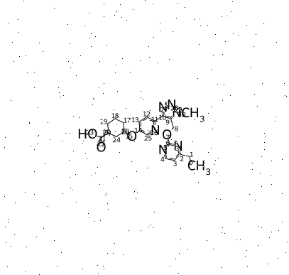 CCc1ccnc(OCc2c(-c3ccc(O[C@H]4CCC[C@H](C(=O)O)C4)cn3)nnn2C)n1